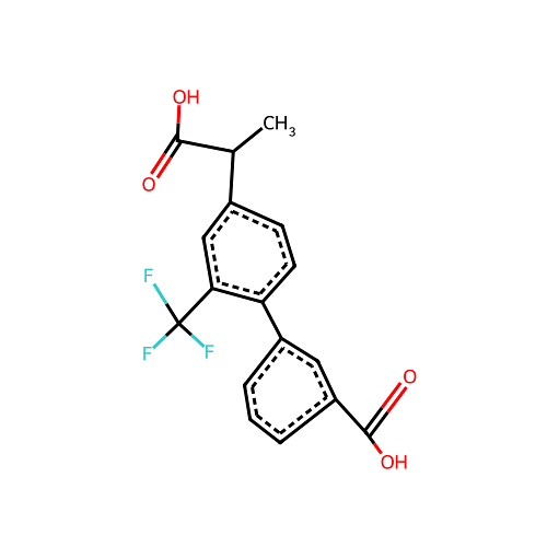 CC(C(=O)O)c1ccc(-c2cccc(C(=O)O)c2)c(C(F)(F)F)c1